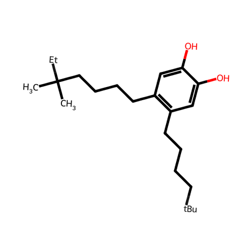 CCC(C)(C)CCCCc1cc(O)c(O)cc1CCCCC(C)(C)C